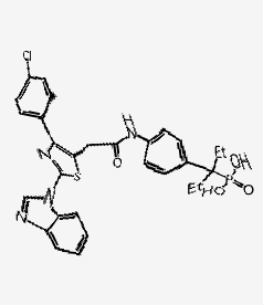 CCC(CC)(c1ccc(NC(=O)Cc2sc(-n3cnc4ccccc43)nc2-c2ccc(Cl)cc2)cc1)P(=O)(O)O